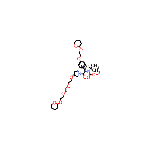 CC(C)(C)N(C(=O)O)C(C(=O)N1CC[C@@H](OCCOCCOCCOC2CCCCO2)C1)c1ccc(OCCOC2CCCCO2)cc1